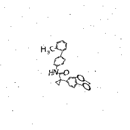 Cc1ccccc1-c1ccc(NC(=O)C2(c3ccc4c(c3)OCO4)CC2)cc1